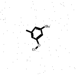 CCOc1cc(C)cc(C(C)(C)C)c1